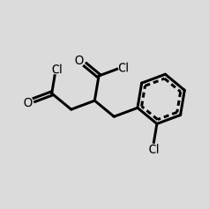 O=C(Cl)CC(Cc1ccccc1Cl)C(=O)Cl